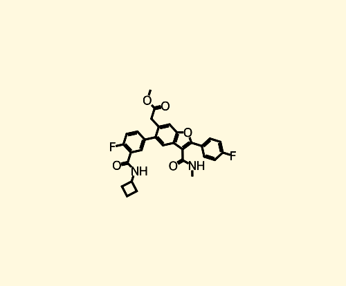 CNC(=O)c1c(-c2ccc(F)cc2)oc2cc(CC(=O)OC)c(-c3ccc(F)c(C(=O)NC4CCC4)c3)cc12